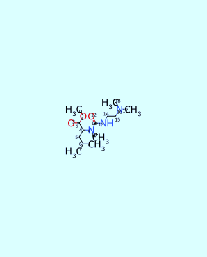 COC(=O)C(CC(C)C)N(C)C(=O)NCCN(C)C